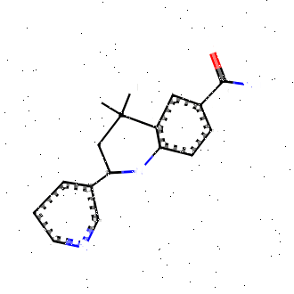 CC1(C)CC(c2cccnc2)Nc2ccc(C(N)=O)cc21